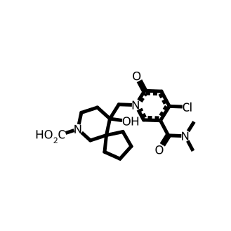 CN(C)C(=O)c1cn(CC2(O)CCN(C(=O)O)CC23CCCC3)c(=O)cc1Cl